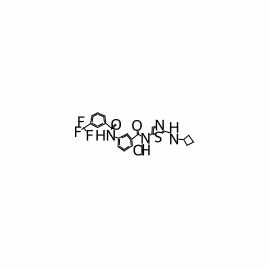 O=C(Nc1ccc(Cl)c(C(=O)Nc2cnc(CNC3CCC3)s2)c1)c1cccc(C(F)(F)F)c1